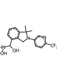 CC1(C)c2cccc(C(O)NO)c2CN1c1ccc(C(F)(F)F)nc1